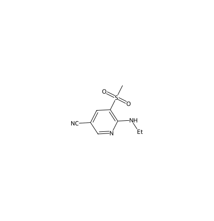 CCNc1ncc(C#N)cc1S(C)(=O)=O